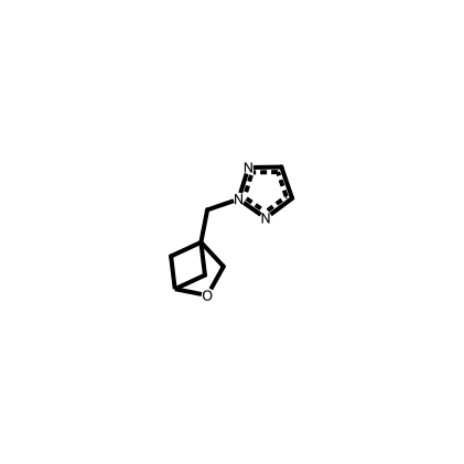 c1cnn(CC23COC(C2)C3)n1